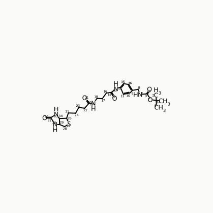 CC(C)(C)OC(=O)NCc1ccc(NC(=O)CCCNC(=O)CCCCC2SCC3NC(=O)NC32)cc1